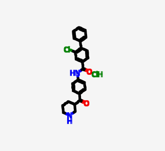 Cl.O=C(Nc1ccc(C(=O)C2CCCNC2)cc1)c1ccc(-c2ccccc2)c(Cl)c1